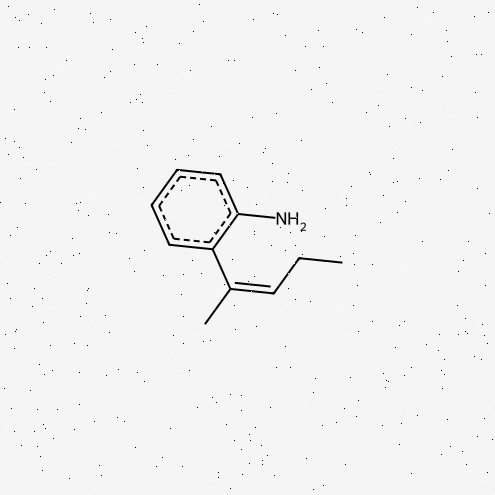 CC/C=C(/C)c1ccccc1N